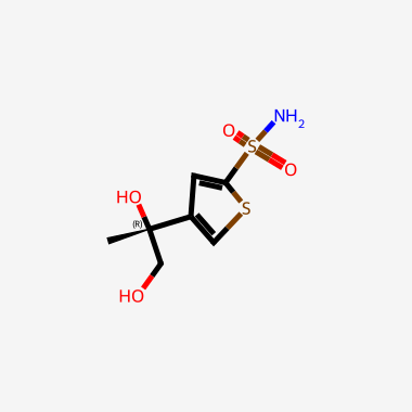 C[C@](O)(CO)c1csc(S(N)(=O)=O)c1